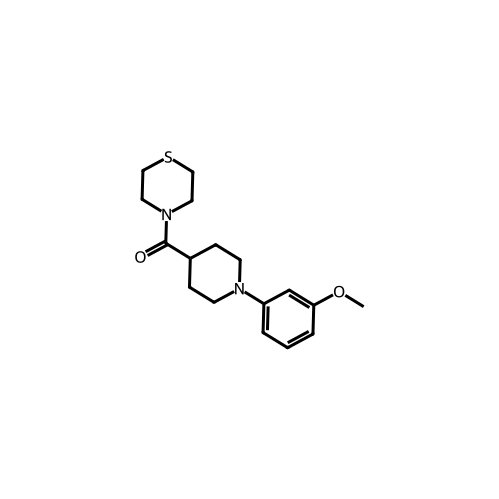 COc1cccc(N2CCC(C(=O)N3CCSCC3)CC2)c1